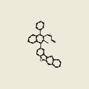 C=C/C=C\c1c(C)c(-c2ccc3oc4cc5ccccc5cc4c3c2)c2ccccc2c1-c1ccccc1